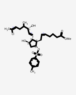 COC(=O)CCC/C=C\C[C@@H]1[C@@H](/C=C/[C@@H](O)C(C)C/C=C(/C)Cl)[C@H](O)C[C@H]1OS(=O)(=O)c1ccc(C)cc1